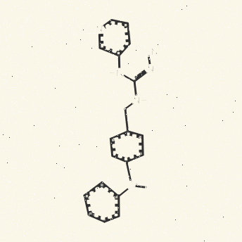 N#CN=C(NCc1ccc([S+]([O-])c2ccccc2)cc1)Nc1cccnc1